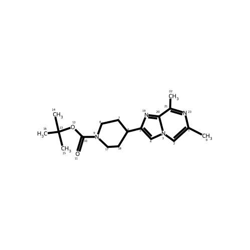 Cc1cn2cc(C3CCN(C(=O)OC(C)(C)C)CC3)nc2c(C)n1